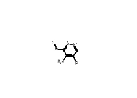 CCNc1nncc(Cl)c1N